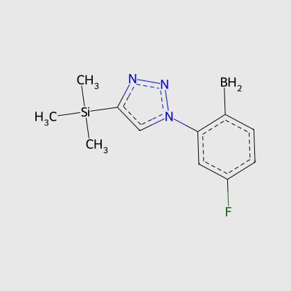 Bc1ccc(F)cc1-n1cc([Si](C)(C)C)nn1